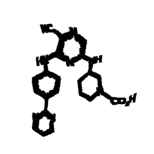 N#Cc1ncc(NC2CCCN(C(=O)O)C2)nc1Nc1ccc(-c2ncccn2)cc1